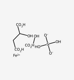 O=C(O)CC(O)C(=O)O.O=C(O)O.[Fe+2].[O-][Si]([O-])(O)O